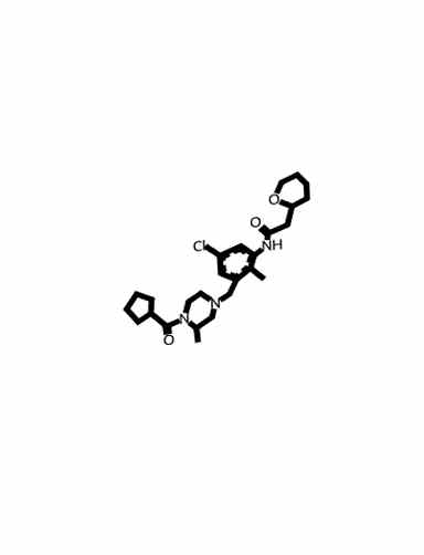 Cc1c(CN2CCN(C(=O)C3CCCC3)C(C)C2)cc(Cl)cc1NC(=O)CC1CCCCO1